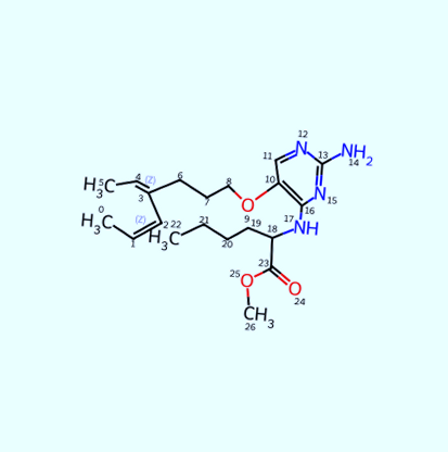 C/C=C\C(=C/C)CCCOc1cnc(N)nc1NC(CCCC)C(=O)OC